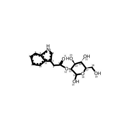 O=C(Cc1c[nH]c2ccccc12)O[C@H]1C(O)O[C@H](CO)[C@@H](O)[C@@H]1O